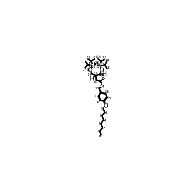 CCCCCCCCOc1ccc(CSC2C[C@@H]3CO[Si](C(C)C)(C(C)C)O[Si](C(C)C)(C(C)C)O[C@H]3S2)cc1